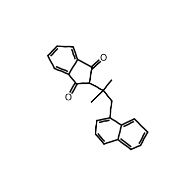 CC(C)(Cc1cccc2ccccc12)C1C(=O)c2ccccc2C1=O